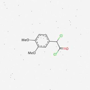 COc1ccc(C(Cl)C(=O)Cl)cc1OC